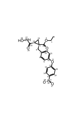 CCOC(=O)[C@@]1(Cc2ccc(Oc3ccc([N+](=O)[O-])cc3)cc2)C[C@@H]1C(=O)NO